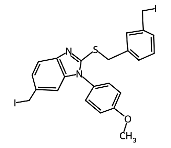 COc1ccc(-n2c(SCc3cccc(CI)c3)nc3ccc(CI)cc32)cc1